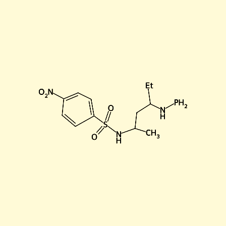 CCC(CC(C)NS(=O)(=O)c1ccc([N+](=O)[O-])cc1)NP